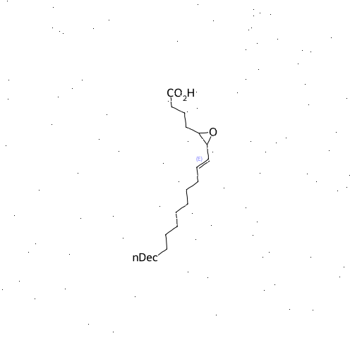 CCCCCCCCCCCCCCCCC/C=C/C1OC1CCCC(=O)O